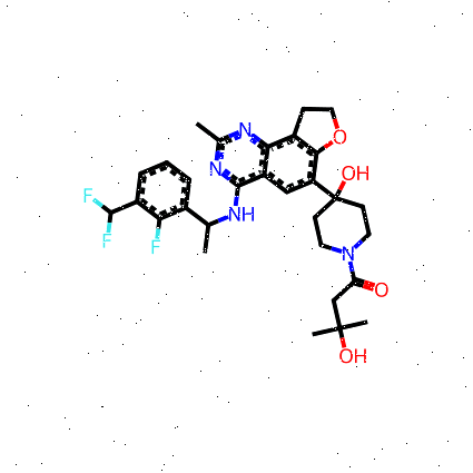 Cc1nc(NC(C)c2cccc(C(F)F)c2F)c2cc(C3(O)CCN(C(=O)CC(C)(C)O)CC3)c3c(c2n1)CCO3